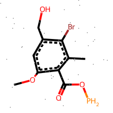 COc1cc(CO)c(Br)c(C)c1C(=O)OP